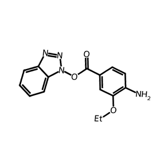 CCOc1cc(C(=O)On2nnc3ccccc32)ccc1N